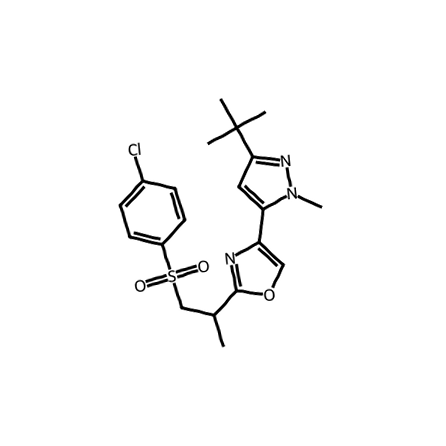 CC(CS(=O)(=O)c1ccc(Cl)cc1)c1nc(-c2cc(C(C)(C)C)nn2C)co1